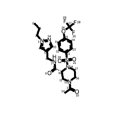 CCCn1cc(CNC(=O)[C@H]2CN(C(C)=O)CCN2S(=O)(=O)c2ccc(OC(F)(F)F)cc2)cn1